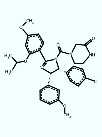 COc1cccc([C@@H]2N=C(c3ccc(OC)cc3OC(C)C)N(C(=O)N3CCNC(=O)C3)[C@@H]2c2ccc(Cl)cc2)c1